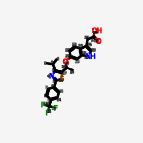 CC(C)c1nc(-c2ccc(C(F)(F)F)cc2)sc1[C@H](C)Oc1ccc2c(CC(=O)O)c[nH]c2c1